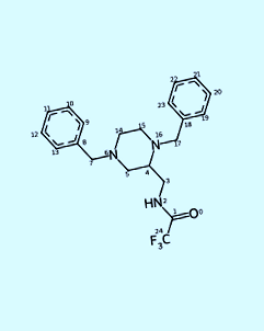 O=C(NCC1CN(Cc2ccccc2)CCN1Cc1ccccc1)C(F)(F)F